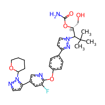 CC(C)(C)C([C@@H](CO)OC(N)=O)n1ccc(-c2ccc(Oc3ncc(-c4ccnn4C4CCCCO4)cc3F)cc2)n1